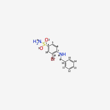 NS(=O)(=O)c1ccc(NCc2ccccc2)c(Br)c1